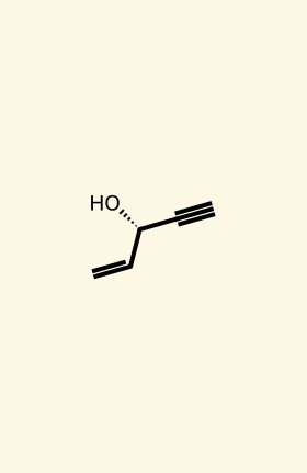 C#C[C@@H](O)C=C